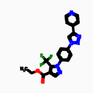 CCOC(=O)c1cnn(-c2ccc(-n3cc(-c4ccncc4)nn3)cc2)c1C(F)(F)F